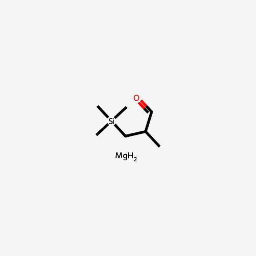 CC(C=O)C[Si](C)(C)C.[MgH2]